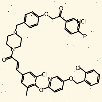 Cc1cc(C=CC(=O)N2CCN(Cc3ccc(OCC(=O)c4ccc(F)cc4)cc3)CC2)cc(Cl)c1Oc1ccc(OCc2ccccc2Cl)cn1.Cl